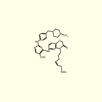 CNC/C=C\CCCN1C(=O)COc2ccc(Nc3nc(Nc4ccc(CN5CCN(C)CC5)cc4)ncc3C=O)nc21